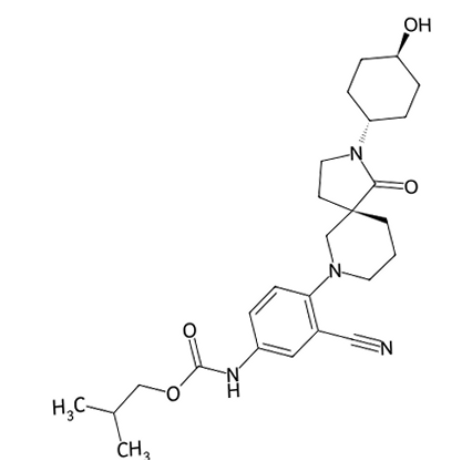 CC(C)COC(=O)Nc1ccc(N2CCC[C@]3(CCN([C@H]4CC[C@H](O)CC4)C3=O)C2)c(C#N)c1